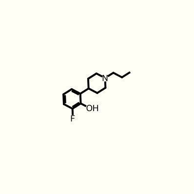 CCCN1CCC(c2cccc(F)c2O)CC1